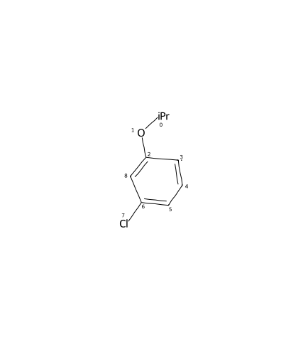 CC(C)Oc1[c]ccc(Cl)c1